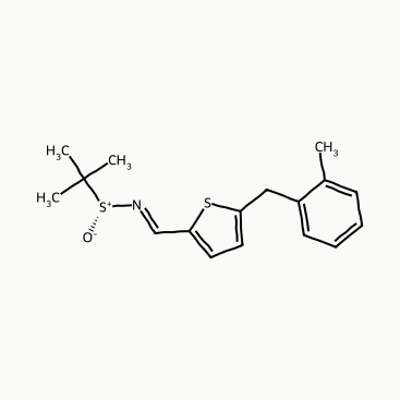 Cc1ccccc1Cc1ccc(C=N[S@+]([O-])C(C)(C)C)s1